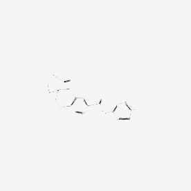 O=C(c1ccc2c(c1)C[C@]1(CCNC1=O)CC2)N(O)c1ccc(Cl)c(Cl)c1